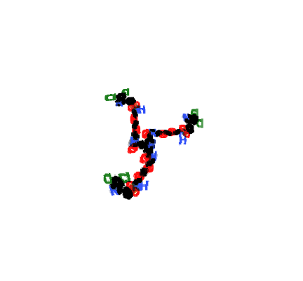 CN1Cc2c(Cl)cc(Cl)cc2[C@H](c2cccc(S(=O)(=O)NCCOCCOCCN(C)C(=O)CCC(CCC(=O)N(C)CCOCCOCCNS(=O)(=O)c3cccc([C@@H]4CN(C)Cc5c(Cl)cc(Cl)cc54)c3)(CCC(=O)N(C)CCOCCOCCNS(=O)(=O)c3cccc([C@@H]4CN(C)Cc5c(Cl)cc(Cl)cc54)c3)N(C)C)c2)C1